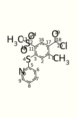 Cc1cc(Sc2ccccn2)c(S(C)(=O)=O)cc1C(=O)Cl